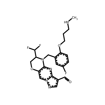 CNCCCOc1ccc(F)cc1CN1c2nc3c(C=O)cnn3cc2OCC1C(F)F